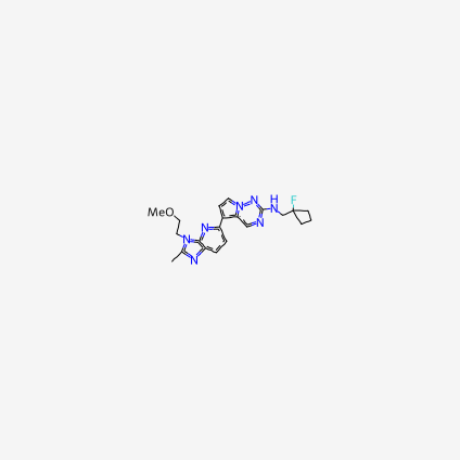 COCCn1c(C)nc2ccc(-c3ccn4nc(NCC5(F)CCC5)ncc34)nc21